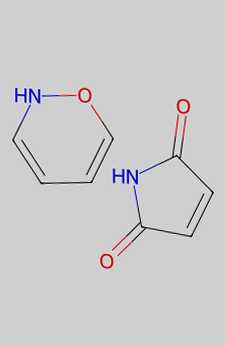 C1=CNOC=C1.O=C1C=CC(=O)N1